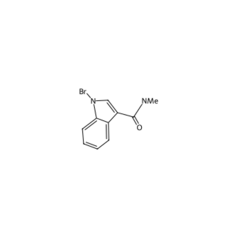 CNC(=O)c1cn(Br)c2ccccc12